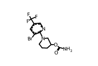 NC(=O)OC1CCCN(c2ncc(C(F)(F)F)cc2Br)C1